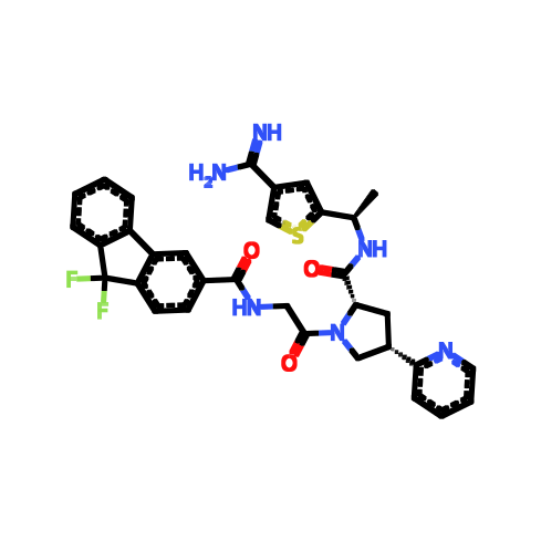 C[C@@H](NC(=O)[C@@H]1C[C@H](c2ccccn2)CN1C(=O)CNC(=O)c1ccc2c(c1)-c1ccccc1C2(F)F)c1cc(C(=N)N)cs1